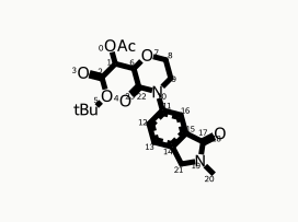 CC(=O)OC(C(=O)OC(C)(C)C)C1OCCN(c2ccc3c(c2)C(=O)N(C)C3)C1=O